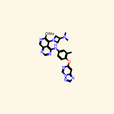 COc1ncc2ncnc(Nc3ccc(Oc4cc5ncnn5cn4)c(C)c3)c2c1N1CC(N(C)C)C1